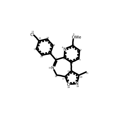 COc1ccc2c(n1)C(c1ccc(Cl)cc1)=NCc1onc(C)c1-2